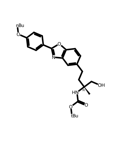 CCCCOc1ccc(-c2nc3cc(CC[C@](C)(CO)NC(=O)OC(C)(C)C)ccc3o2)cc1